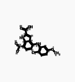 COc1ccc(Cl)c(Nc2ccc([N+](=O)[O-])c3[nH]c(C(=O)O)cc23)c1